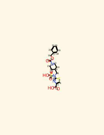 O=C(O)c1csc(N(CC2CCN(C(=O)OCc3ccccc3)CC2)S(=O)(=O)O)n1